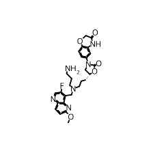 COc1ccc2ncc(F)c(CN(CCCN)CCC[C@@H]3CN(c4ccc5c(c4)NC(=O)CO5)C(=O)O3)c2n1